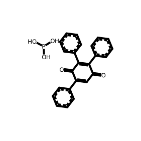 O=C1C=C(c2ccccc2)C(=O)C(c2ccccc2)=C1c1ccccc1.OP(O)O